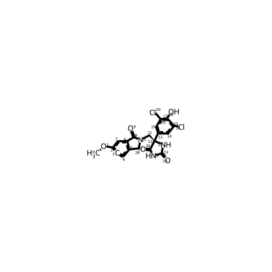 COc1ccc2c(c1)C(=O)N(C[C@@]1(c3cc(Cl)c(O)c(Cl)c3)NC(=O)NC1=O)C2